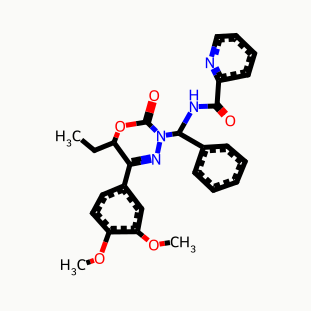 CCC1OC(=O)N(C(NC(=O)c2ccccn2)c2ccccc2)N=C1c1ccc(OC)c(OC)c1